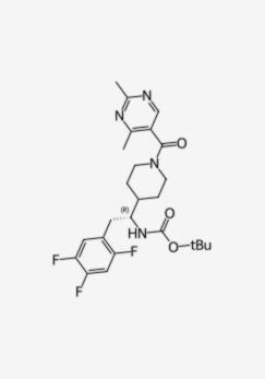 Cc1ncc(C(=O)N2CCC([C@@H](Cc3cc(F)c(F)cc3F)NC(=O)OC(C)(C)C)CC2)c(C)n1